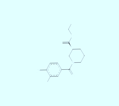 CCOC(=O)[C@H]1CCCN(C(=O)c2ccc(N)c(F)c2)C1